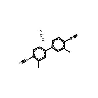 Cc1cc(-c2ccc([N+]#N)c(C)c2)ccc1[N+]#N.[Cl-].[Cl-].[Zn]